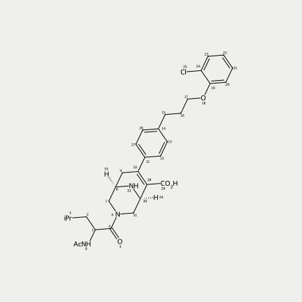 CC(=O)NC(CC(C)C)C(=O)N1C[C@H]2CC(c3ccc(CCCOc4ccccc4Cl)cc3)=C(C(=O)O)[C@@H](C1)N2